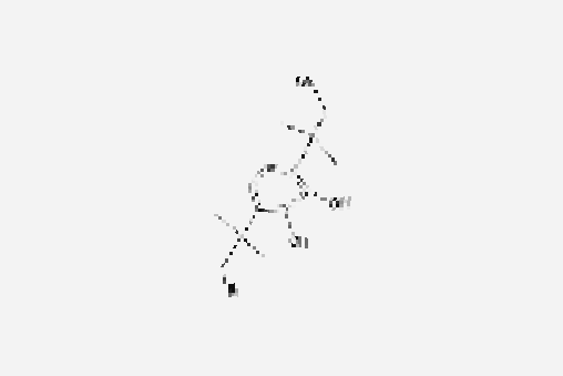 CC(C)(C)CC(C)(C)c1ccc(C(C)(C)CC(C)(C)C)c(O)c1O